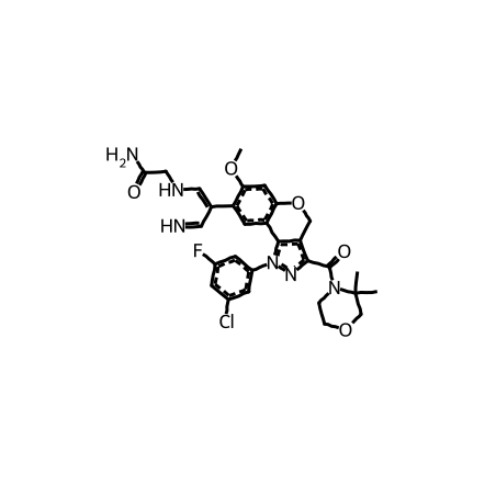 COc1cc2c(cc1/C(C=N)=C/NCC(N)=O)-c1c(c(C(=O)N3CCOCC3(C)C)nn1-c1cc(F)cc(Cl)c1)CO2